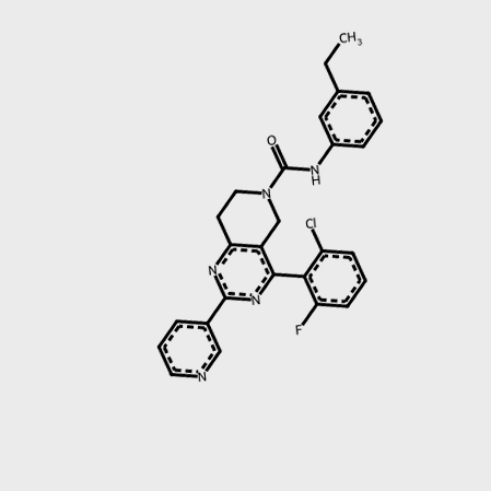 CCc1cccc(NC(=O)N2CCc3nc(-c4cccnc4)nc(-c4c(F)cccc4Cl)c3C2)c1